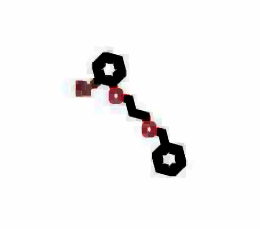 Brc1ccccc1OCCCOCc1ccccc1